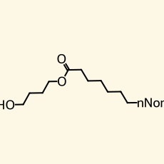 CCCCCCCCCCCCCCCC(=O)OCCCCO